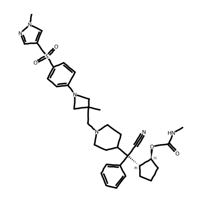 CNC(=O)O[C@H]1CCC[C@@H]1C(C#N)(c1ccccc1)C1CCN(CC2(C)CN(c3ccc(S(=O)(=O)c4cnn(C)c4)cc3)C2)CC1